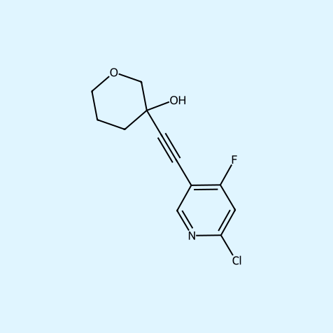 OC1(C#Cc2cnc(Cl)cc2F)CCCOC1